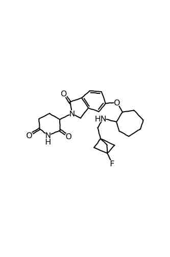 O=C1CCC(N2Cc3cc(OC4CCCCCC4NCC45CC(F)(C4)C5)ccc3C2=O)C(=O)N1